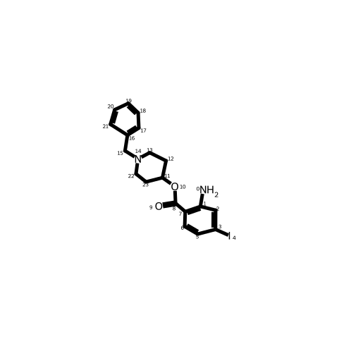 Nc1cc(I)ccc1C(=O)OC1CCN(Cc2ccccc2)CC1